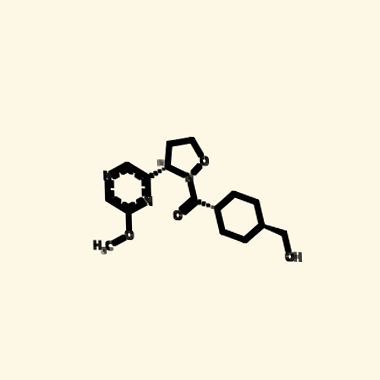 COc1cncc([C@@H]2CCON2C(=O)[C@H]2CC[C@H](CO)CC2)n1